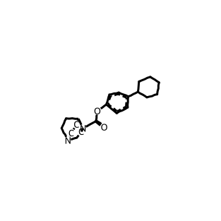 O=C(Oc1ccc(C2CCCCC2)cc1)N1CCN2CCC1CC2